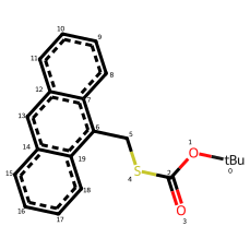 CC(C)(C)OC(=O)SCc1c2ccccc2cc2ccccc12